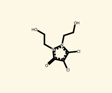 O=c1c(Cl)c(Cl)n(CCO)n1CCO